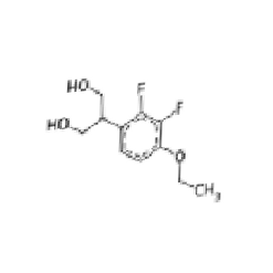 CCOc1ccc(C(CO)CO)c(F)c1F